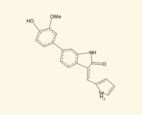 COc1cc(-c2ccc3c(c2)NC(=O)/C3=C\C2=CC=C[SeH2]2)ccc1O